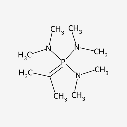 CC(C)=P(N(C)C)(N(C)C)N(C)C